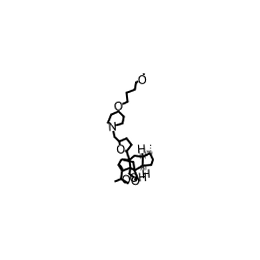 COCCCCOC1CCN(CC2CCC(C34C[C@@H]5[C@H](C)CC[C@H]5C5(C=O)CC3C=C(C(C)C)C45C(=O)O)O2)CC1